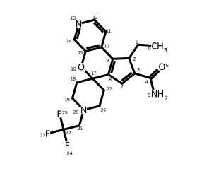 CCC1C(C(N)=O)=CC2=C1c1ccncc1OC21CCN(CC(F)(F)F)CC1